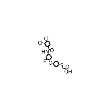 O=C(O)CSc1ccc(Oc2ccc(NC(=O)c3ccc(Cl)c(Cl)c3)cc2F)cc1